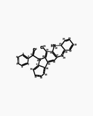 O=C(c1ccccc1)n1c2ccccc2c2cc3c(c(Cl)c21)NC1C=CC=CC1=N3